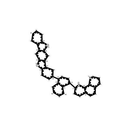 c1cnc2c(c1)ccc1ccc(-c3ccc(-c4ccc5oc6cc7c(cc6c5c4)oc4ccccc47)c4ccccc34)nc12